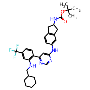 CC(C)(C)OC(=O)NC1Cc2ccc(Nc3cc(-c4ccc(C(F)(F)F)cc4NCC4CCCCC4)ncn3)cc2C1